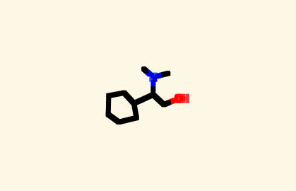 CN(C)C(CO)C1CCCCC1